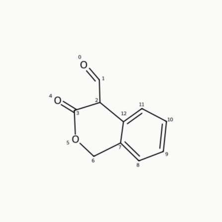 O=CC1C(=O)OCc2ccccc21